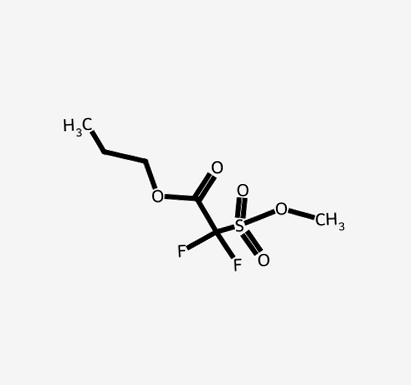 CCCOC(=O)C(F)(F)S(=O)(=O)OC